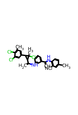 C=C(Nc1ccc(C)cc1C#N)c1cccc(NC(=C)C2C(c3cc(C)c(Cl)c(Cl)c3)C2(C)Cl)c1